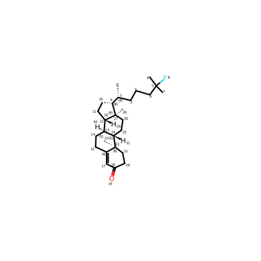 C[C@H](CCCC(C)(C)F)[C@H]1CC[C@H]2[C@@H]3CCC4=CC(=O)CC[C@]4(C)[C@H]3CC[C@]12C